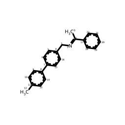 C/C(=N\Cc1ccc(-c2ccc(C)cc2)cc1)c1ccccc1